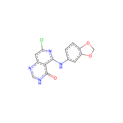 O=c1[nH]cnc2cc(Cl)nc(Nc3ccc4c(c3)OCO4)c12